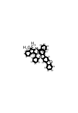 CC1(C)c2ccccc2-c2c(-c3ccccc3-n3c4ccccc4c4cc5oc6ccccc6c5cc43)nc(-c3ccccc3)nc21